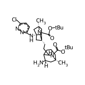 CC(C)(C)OC(=O)N1[C@@H](CC[C@@]23C[C@@]4(Nc5ccc(Cl)nn5)C[C@@](C)(CC42)N3C(=O)OC(C)(C)C)C2CCC[C@@]1(C)C[C@@H]2N